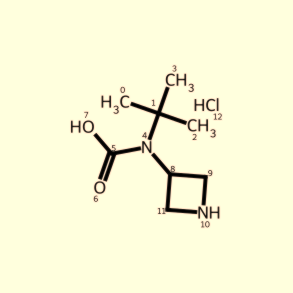 CC(C)(C)N(C(=O)O)C1CNC1.Cl